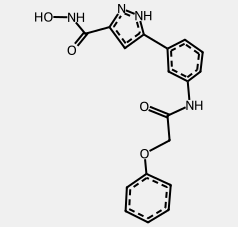 O=C(COc1ccccc1)Nc1cccc(-c2cc(C(=O)NO)n[nH]2)c1